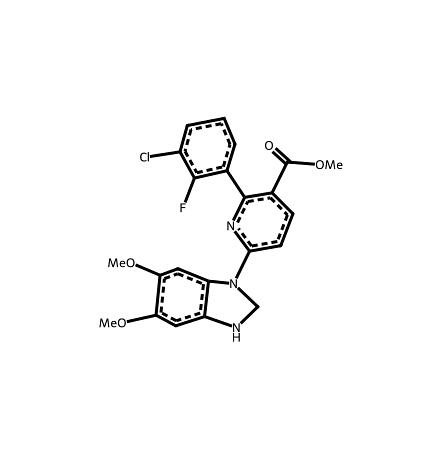 COC(=O)c1ccc(N2CNc3cc(OC)c(OC)cc32)nc1-c1cccc(Cl)c1F